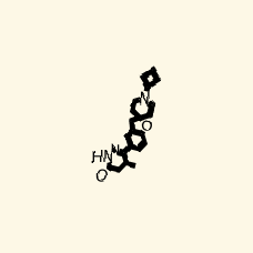 CC1CC(=O)NN=C1c1ccc2c(c1)CC1(CCN(C3CCC3)CC1)O2